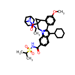 CCN1CC2CC(C1)N2C(=O)C12CC1c1cc(OC)ccc1-c1c(C3CCCCC3)c3ccc(C(=O)NS(=O)(=O)C(C)C)cc3n1C2